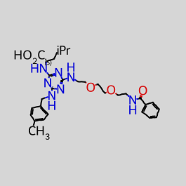 Cc1ccc(CNc2nc(NCCOCCOCCNC(=O)c3ccccc3)nc(N[C@@H](CC(C)C)C(=O)O)n2)cc1